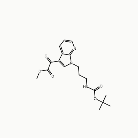 COC(=O)C(=O)c1cn(CCCNC(=O)OC(C)(C)C)c2ncccc12